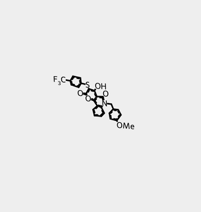 COc1ccc(Cn2c(=O)c3c(O)c(Sc4ccc(C(F)(F)F)cc4)c(=O)oc3c3ccccc32)cc1